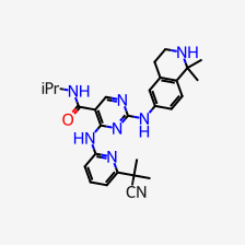 CC(C)NC(=O)c1cnc(Nc2ccc3c(c2)CCNC3(C)C)nc1Nc1cccc(C(C)(C)C#N)n1